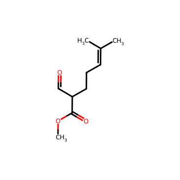 COC(=O)C(C=O)CCC=C(C)C